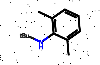 Cc1cccc(C)c1NC(C)(C)C